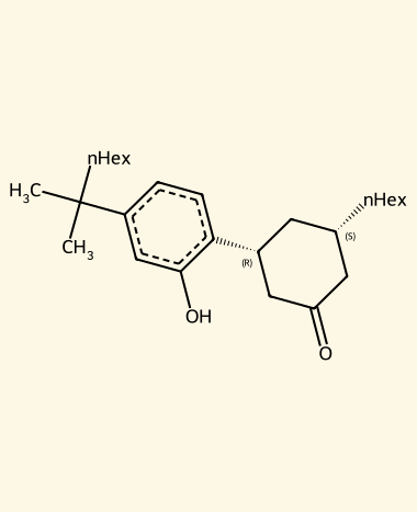 CCCCCC[C@@H]1CC(=O)C[C@H](c2ccc(C(C)(C)CCCCCC)cc2O)C1